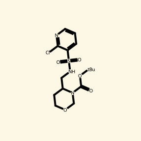 CC(C)(C)OC(=O)N1COCCC1CNS(=O)(=O)c1cccnc1Cl